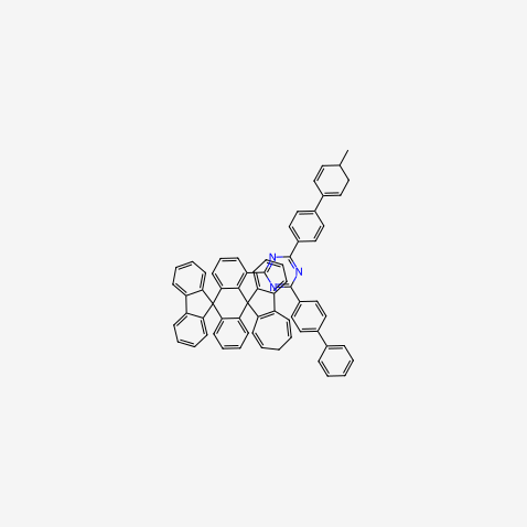 CC1C=CC(c2ccc(-c3nc(-c4ccc(-c5ccccc5)cc4)nc(-c4cccc5c4C4(C6=C(C=CCC=C6)c6ccccc64)c4ccccc4C54c5ccccc5-c5ccccc54)n3)cc2)=CC1